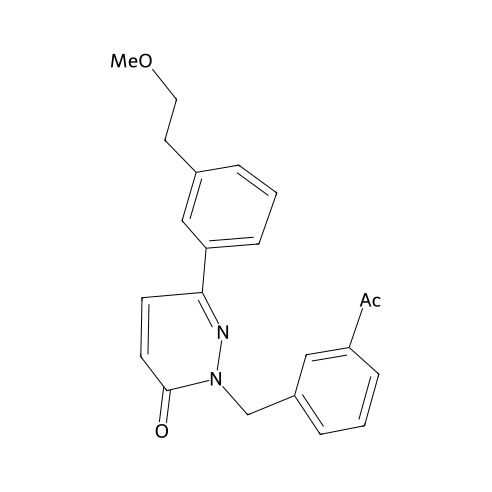 COCCc1cccc(-c2ccc(=O)n(Cc3cccc(C(C)=O)c3)n2)c1